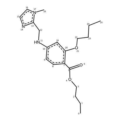 CCCCOC(=O)c1ccc(NCc2nccn2C)cc1OCCCC